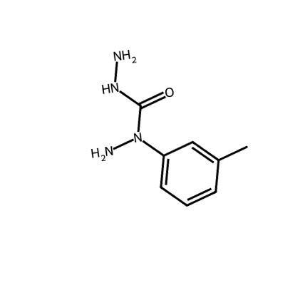 Cc1cccc(N(N)C(=O)NN)c1